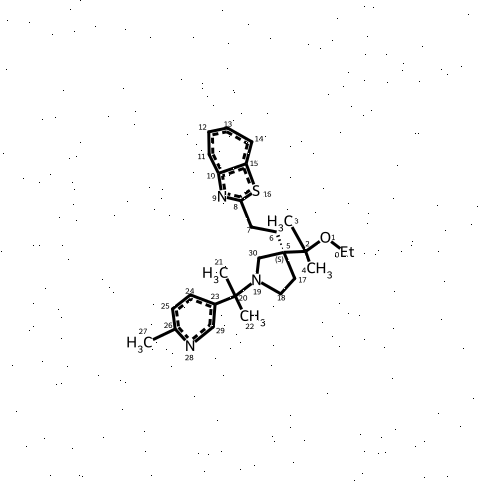 CCOC(C)(C)[C@@]1(CCc2nc3ccccc3s2)CCN(C(C)(C)c2ccc(C)nc2)C1